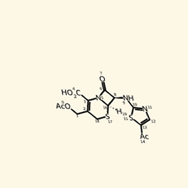 CC(=O)OCC1=C(C(=O)O)N2C(=O)[C@@H](Nc3ncc(C(C)=O)s3)[C@H]2SC1